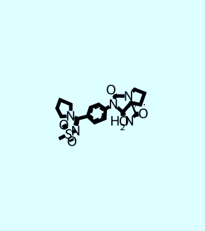 CS(=O)(=O)N=C(c1ccc(N2C(=O)N3CC[CH][C@]3(C(N)=O)C2=O)cc1)N1CCCC1